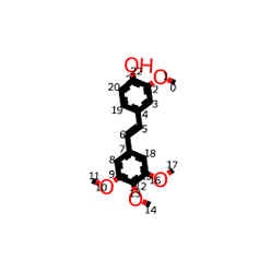 COc1cc(C=Cc2cc(OC)c(OC)c(OC)c2)ccc1O